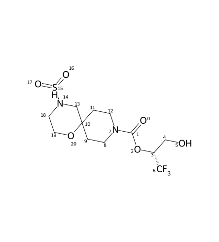 O=C(O[C@H](CO)C(F)(F)F)N1CCC2(CC1)CN([SH](=O)=O)CCO2